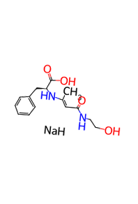 C/C(=C\C(=O)NCCO)N[C@@H](Cc1ccccc1)C(=O)O.[NaH]